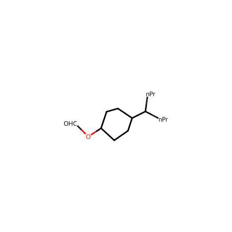 CCCC(CCC)C1CCC(OC=O)CC1